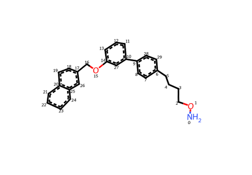 NOCCCCc1ccc(-c2cccc(OCc3ccc4ccccc4c3)c2)cc1